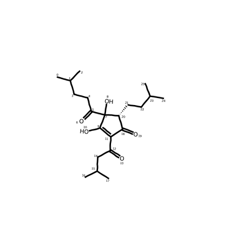 CC(C)CCC(=O)C1(O)C(O)=C(C(=O)CC(C)C)C(=O)[C@H]1CCC(C)C